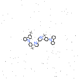 CC(C)(C)c1ccc2c(c1)c1ccccc1n2-c1ccc(C(C)(C)C)c(-c2cccc(-c3ccnc(-c4ccc(-n5c6ccccc6c6ccccc65)cc4C(C)(C)C)c3)n2)c1